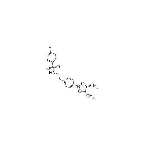 C=C1OB(c2ccc(CCNS(=O)(=O)c3ccc(F)cc3)cc2)OC1=C